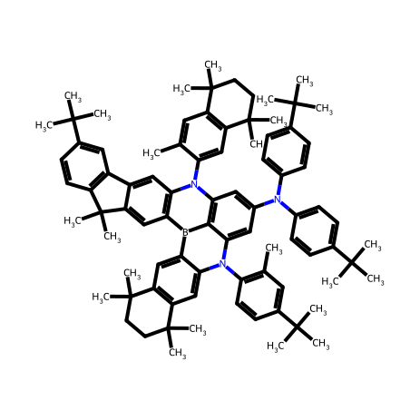 Cc1cc(C(C)(C)C)ccc1N1c2cc3c(cc2B2c4cc5c(cc4N(c4cc6c(cc4C)C(C)(C)CCC6(C)C)c4cc(N(c6ccc(C(C)(C)C)cc6)c6ccc(C(C)(C)C)cc6)cc1c42)-c1cc(C(C)(C)C)ccc1C5(C)C)C(C)(C)CCC3(C)C